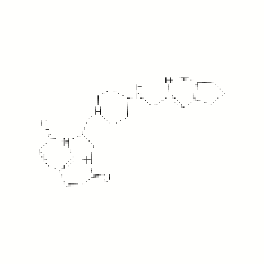 O=c1ccc2ccc(=O)n3c2n1CC3CN1CCC(NCc2cc3c(cn2)CCC3)CC1